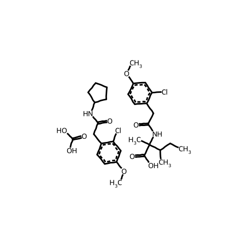 CCC(C)C(C)(NC(=O)Cc1ccc(OC)cc1Cl)C(=O)O.COc1ccc(CC(=O)NC2CCCC2)c(Cl)c1.O=C(O)O